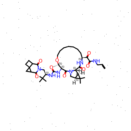 C=CCNC(=O)C(=O)[C@@H]1CCCCCCCO[C@@H](C)[C@H](NC(=O)N[C@H](CN2C(=O)C3CCC34CC4C2=O)C(C)(C)C)C(=O)N2C[C@H]3[C@@H]([C@H]2C(=O)N1)C3(C)C